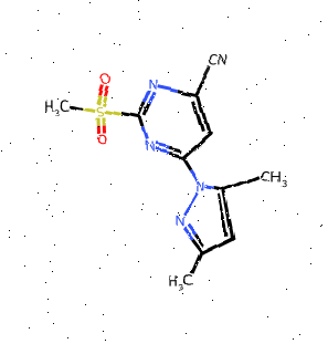 Cc1cc(C)n(-c2cc(C#N)nc(S(C)(=O)=O)n2)n1